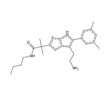 CCCCNC(=O)C(C)(C)c1cc2c(CCN)c(-c3cc(C)cc(C)c3)[nH]c2s1